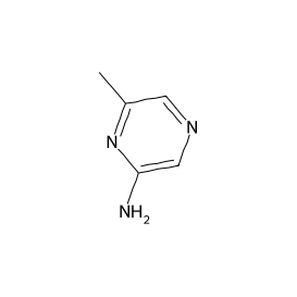 Cc1cncc(N)n1